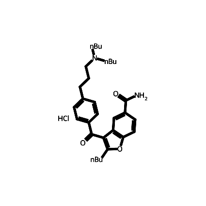 CCCCc1oc2ccc(C(N)=O)cc2c1C(=O)c1ccc(CCCN(CCCC)CCCC)cc1.Cl